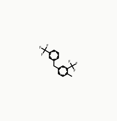 Cc1ccc(Cc2cccc(C(F)(F)F)c2)cc1C(F)(F)F